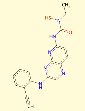 C#Cc1ccccc1Nc1cnc2ccc(NC(=O)N(S)CC)nc2n1